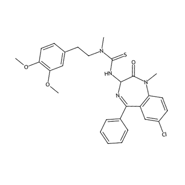 COc1ccc(CCN(C)C(=S)NC2N=C(c3ccccc3)c3cc(Cl)ccc3N(C)C2=O)cc1OC